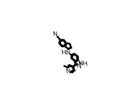 Cc1cc(-c2n[nH]c3ccc(NC4CCc5cc(C#N)ccc54)cc23)ccn1